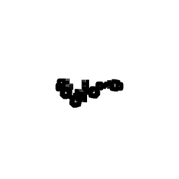 COc1ccc(-c2cccc3nc(Nc4cccc(OCCN5CCOCC5)c4)nn23)cc1